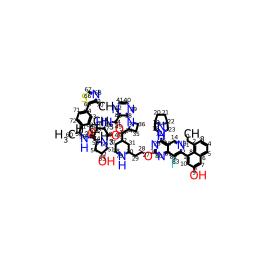 CCc1cccc2cc(O)cc(-c3ncc4c(N5CC6CCC(C5)N6)nc(OCCC5CC(CC6CCN6c6nccnc6C(=O)N[C@H](C(=O)N6C[C@H](O)C[C@H]6C(=O)N[C@@H](C)c6ccc(-c7scnc7C)cc6)C(C)(C)C)CCN5)nc4c3F)c12